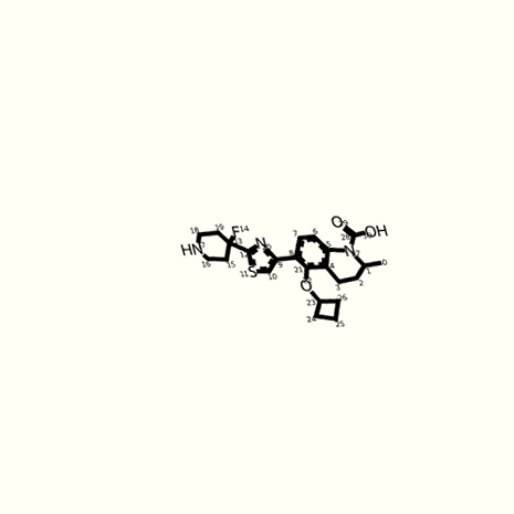 CC1CCc2c(ccc(-c3csc(C4(F)CCNCC4)n3)c2OC2CCC2)N1C(=O)O